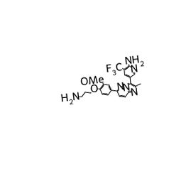 COc1cc(-c2ccc3nc(C)c(-c4cnc(N)c(C(F)(F)F)c4)n3n2)ccc1OCCCN